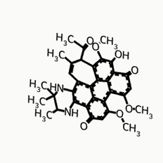 COc1c(O)c2c(=O)cc(OC)c3c4c(OC)cc(=O)c5c6c(c7c(c(c1C(C(C)=O)C(C)=C7)c23)c54)NC(C)(C)C(C)N6